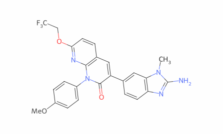 COc1ccc(-n2c(=O)c(-c3ccc4nc(N)n(C)c4c3)cc3ccc(OCC(F)(F)F)nc32)cc1